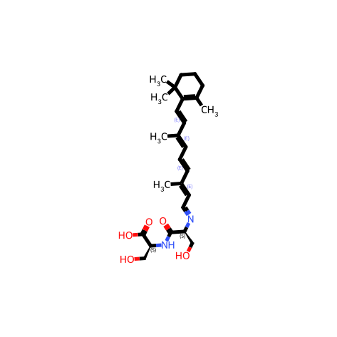 CC1=C(/C=C/C(C)=C/C=C/C(C)=C/C=N[C@@H](CO)C(=O)N[C@@H](CO)C(=O)O)C(C)(C)CCC1